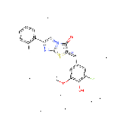 COc1cc(/C=c2\sc3nc(-c4ccccc4C)cn3c2=O)cc(F)c1O